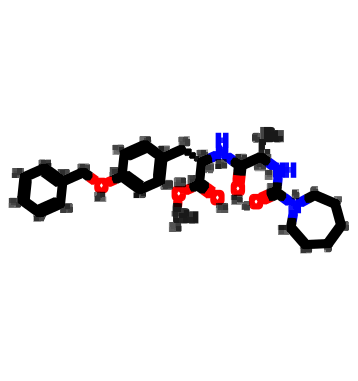 CCC(C)[C@H](NC(=O)N1CCCCCC1)C(=O)N[C@@H](Cc1ccc(OCc2ccccc2)cc1)C(=O)OC(C)(C)C